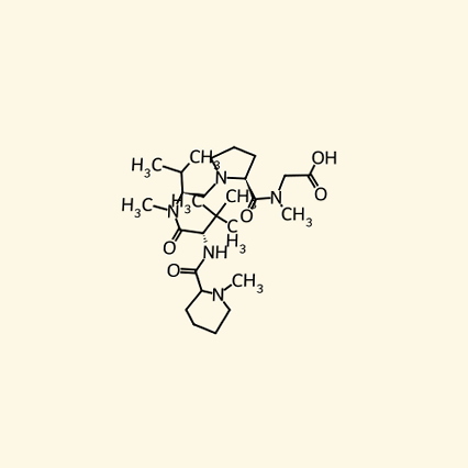 CC(C)[C@@H](CN1CCC[C@H]1C(=O)N(C)CC(=O)O)N(C)C(=O)[C@@H](NC(=O)C1CCCCN1C)C(C)(C)C